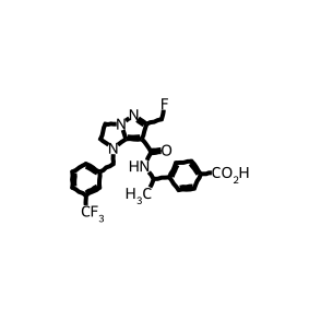 CC(NC(=O)c1c(CF)nn2c1N(Cc1cccc(C(F)(F)F)c1)CC2)c1ccc(C(=O)O)cc1